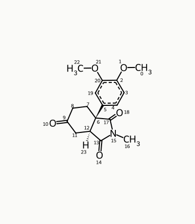 COc1ccc([C@]23CCC(=O)C[C@@H]2C(=O)N(C)C3=O)cc1OC